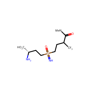 CNC(=O)C(CCS(=N)(=O)CC[C@H](N)C(=O)O)C(F)(F)F